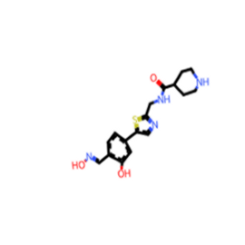 O=C(NCc1ncc(-c2ccc(/C=N/O)c(O)c2)s1)C1CCNCC1